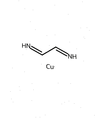 N=CC=N.[Cu]